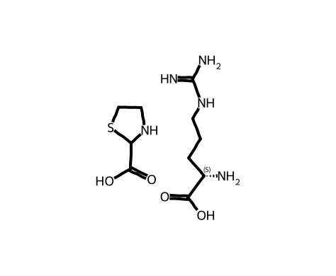 N=C(N)NCCC[C@H](N)C(=O)O.O=C(O)C1NCCS1